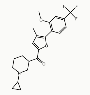 COc1cc(C(F)(F)F)ccc1-c1oc(C(=O)C2CCCN(C3CC3)C2)cc1C